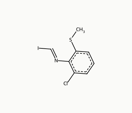 CSc1cccc(Cl)c1/N=C/I